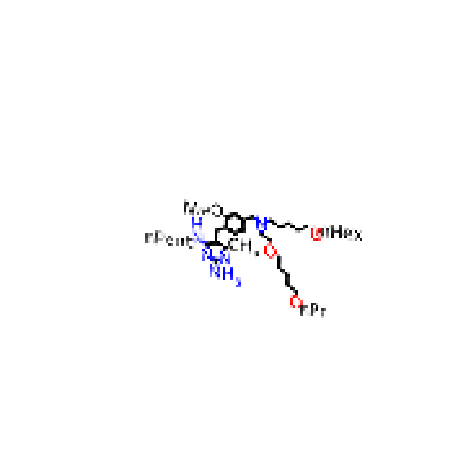 CCCCCCOCCCCCN(CCOCCCCCOCCC)Cc1ccc(Cc2c(C)nc(N)nc2NCCCCC)c(OC)c1